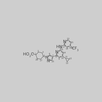 O=C(O)C1CCC(n2cc(-c3cc(C4CC4)cc(Nc4cc(C(F)(F)F)ccn4)n3)cn2)CC1